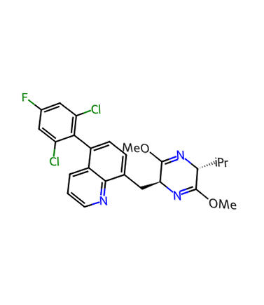 COC1=N[C@H](C(C)C)C(OC)=N[C@H]1Cc1ccc(-c2c(Cl)cc(F)cc2Cl)c2cccnc12